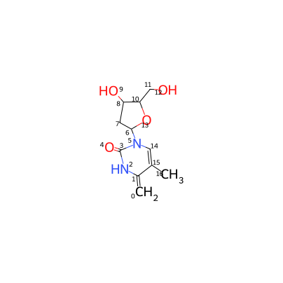 C=C1NC(=O)N(C2CC(O)C(CO)O2)C=C1C